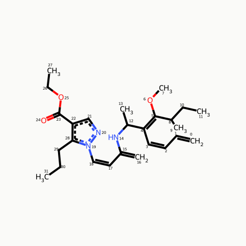 C=C/C=C\C(=C(\OC)C(C)CC)C(C)NC(=C)/C=C\n1ncc(C(=O)OCC)c1CCC